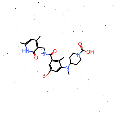 Cc1cc(C)c(CNC(=O)c2cc(Br)cc(N(C)C3CCN(C(=O)O)CC3)c2C)c(=O)[nH]1